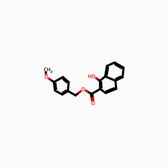 COc1ccc(COC(=O)c2ccc3ccccc3c2O)cc1